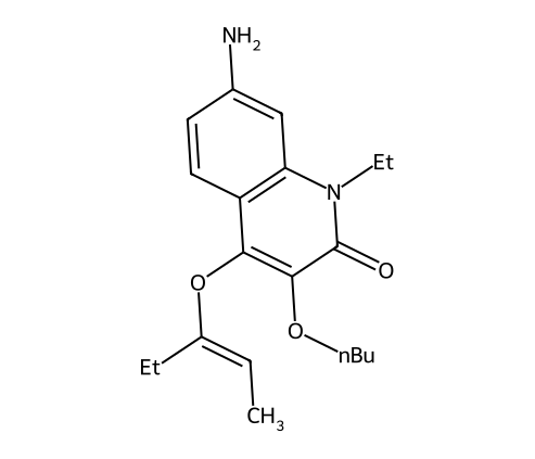 CC=C(CC)Oc1c(OCCCC)c(=O)n(CC)c2cc(N)ccc12